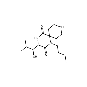 CCCCN1C(=O)[C@H]([C@@H](O)C(C)C)NC(=O)C12CCNCC2